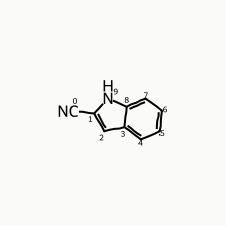 N#Cc1cc2c[c]ccc2[nH]1